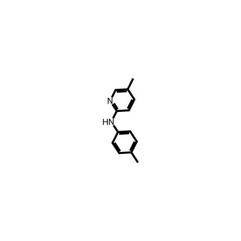 Cc1ccc(Nc2ccc(C)cn2)cc1